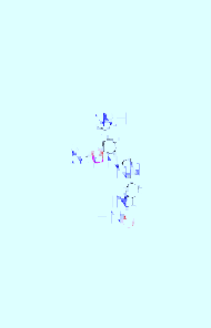 CNC(=O)c1cc2ccc(-c3nccc(Nc4ccc(-c5cn[nH]c5)cc4OCCN(C)C)n3)cc2[nH]1